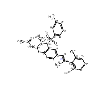 CC(=O)N[C@@H]1Cc2ccc(/C=C(\C)c3c(F)cccc3Cl)cc2N(S(=O)(=O)c2cccc(C)c2)[C@@H]1C